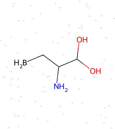 BCC(N)C(O)O